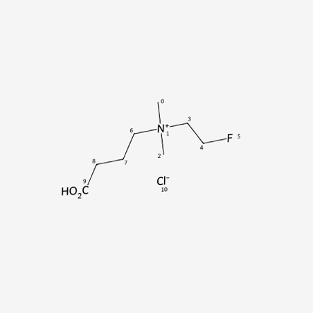 C[N+](C)(CCF)CCCC(=O)O.[Cl-]